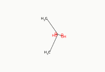 CCCCCCCCCCCCCCCCCCCCCCC(CCCCCCCCCCCCCCCCCCCCCC)(CCCCC(=O)O)C(=O)O